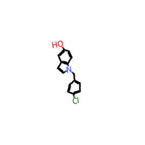 Oc1ccc2c(ccn2Cc2ccc(Cl)cc2)c1